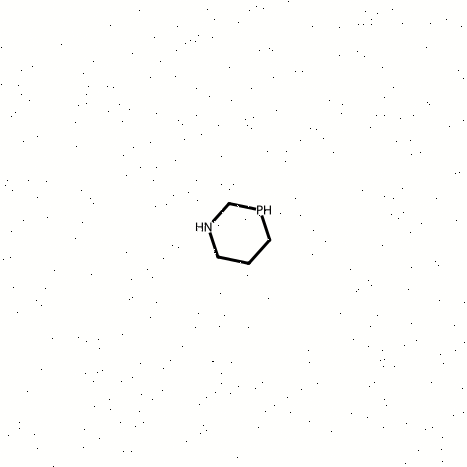 C1CNCPC1